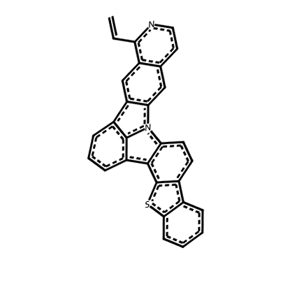 C=Cc1nccc2cc3c(cc12)c1cccc2c4c5sc6ccccc6c5ccc4n3c12